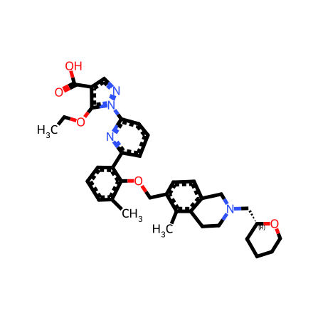 CCOc1c(C(=O)O)cnn1-c1cccc(-c2cccc(C)c2OCc2ccc3c(c2C)CCN(C[C@H]2CCCCO2)C3)n1